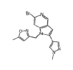 Cc1cc(Cn2c(-c3cnn(C)c3)cc3cnc(Br)cc32)no1